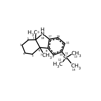 CC12CCCCC1(C)c1cc([Si](C)(C)C)ccc1N2